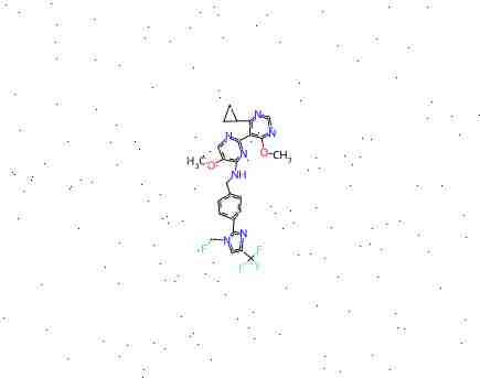 COc1cnc(-c2c(OC)ncnc2C2CC2)nc1NCc1ccc(-c2nc(C(F)(F)F)cn2CF)cc1